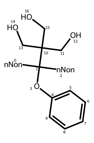 CCCCCCCCCC(CCCCCCCCC)(Oc1ccccc1)C(CO)(CO)CO